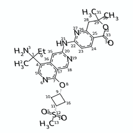 CCC(C)(N)c1cnc(O[C@H]2C[C@@H](S(C)(=O)=O)C2)c2cnc(Nc3ccc4c(n3)CC(C)(C)OC4=O)cc12